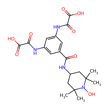 CC1(C)CC(NC(=O)c2cc(NC(=O)C(=O)O)cc(NC(=O)C(=O)O)c2)CC(C)(C)N1O